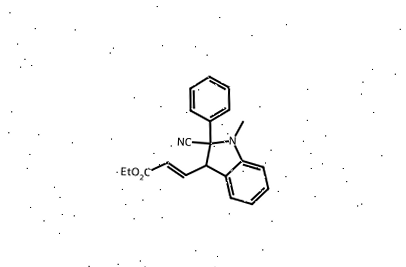 CCOC(=O)C=CC1c2ccccc2N(C)C1(C#N)c1ccccc1